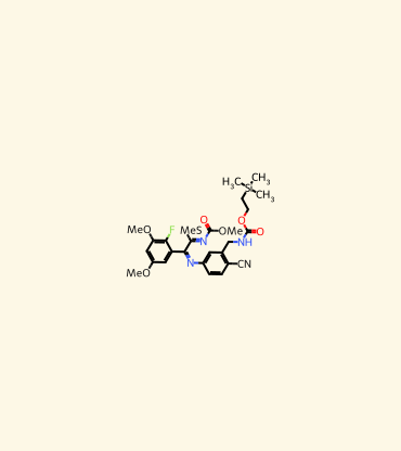 COC(=O)N=C(SC)C(=Nc1ccc(C#N)c(CNC(=O)OCC[Si](C)(C)C)c1)c1cc(OC)cc(OC)c1F